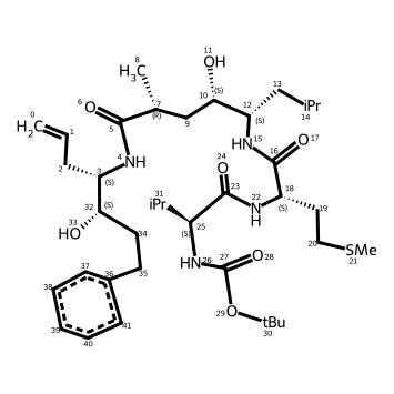 C=CC[C@H](NC(=O)[C@H](C)C[C@H](O)[C@H](CC(C)C)NC(=O)[C@H](CCSC)NC(=O)[C@@H](NC(=O)OC(C)(C)C)C(C)C)[C@@H](O)CCc1ccccc1